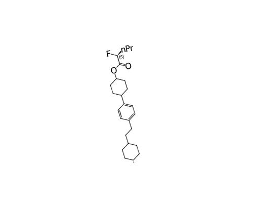 CCC[C@H](F)C(=O)OC1CCC(c2ccc(CCC3CC[CH]CC3)cc2)CC1